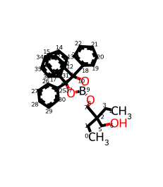 CCC(CC)(CO)COB1OC(c2ccccc2)(c2ccccc2)C(c2ccccc2)(c2ccccc2)O1